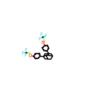 FC(F)(F)SOc1ccc(C23CC4CC(C2)CC(c2ccc(OSC(F)(F)F)cc2)(C4)C3)cc1